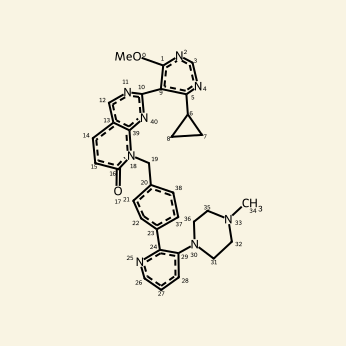 COc1ncnc(C2CC2)c1-c1ncc2ccc(=O)n(Cc3ccc(-c4ncccc4N4CCN(C)CC4)cc3)c2n1